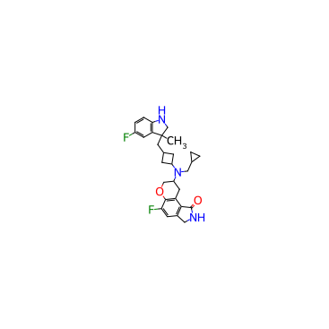 CC1(CC2CC(N(CC3CC3)C3COc4c(F)cc5c(c4C3)C(=O)NC5)C2)CNc2ccc(F)cc21